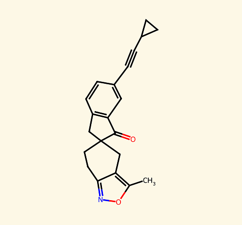 Cc1onc2c1CC1(CC2)Cc2ccc(C#CC3CC3)cc2C1=O